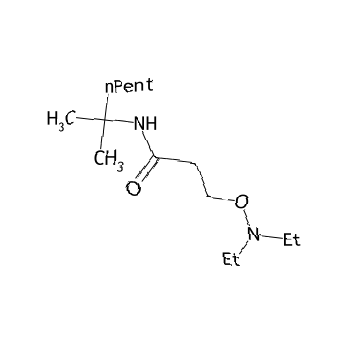 CCCCCC(C)(C)NC(=O)CCON(CC)CC